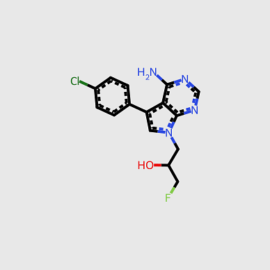 Nc1ncnc2c1c(-c1ccc(Cl)cc1)cn2CC(O)CF